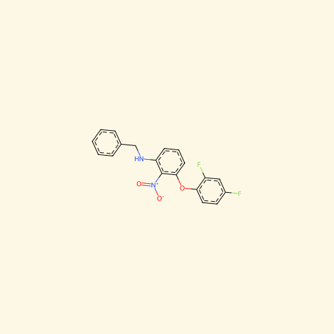 O=[N+]([O-])c1c(NCc2ccccc2)cccc1Oc1ccc(F)cc1F